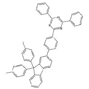 Cc1ccc(C2(c3ccc(C)cc3)c3ccccc3-c3ccc(-c4ccc(-c5nc(-c6ccccc6)nc(-c6ccccc6)n5)cc4)cc32)cc1